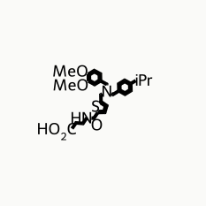 COc1ccc(CN(Cc2ccc(C(C)C)cc2)Cc2ccc(C(=O)NCCC(=O)O)s2)cc1OC